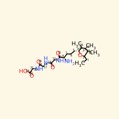 CCC1O[C@H](CCC[C@H](N)C(=O)NCC(=O)NCC(=O)NCC(=O)O)C(C)[C@@H](C)[C@H]1C